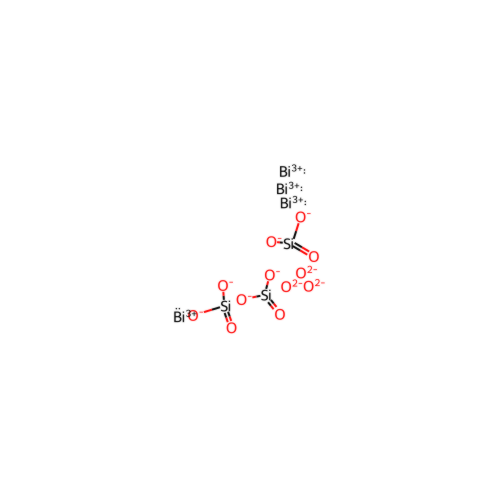 O=[Si]([O-])[O-].O=[Si]([O-])[O-].O=[Si]([O-])[O-].[Bi+3].[Bi+3].[Bi+3].[Bi+3].[O-2].[O-2].[O-2]